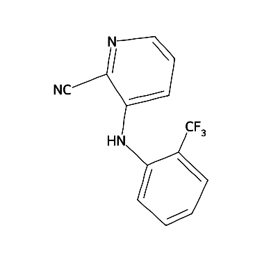 N#Cc1ncccc1Nc1ccccc1C(F)(F)F